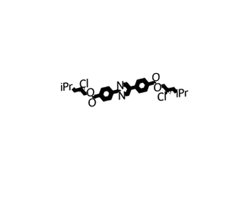 CC(C)C[C@@H](Cl)COC(=O)c1ccc(-c2cnc(-c3ccc(C(=O)OC[C@H](Cl)CC(C)C)cc3)nc2)cc1